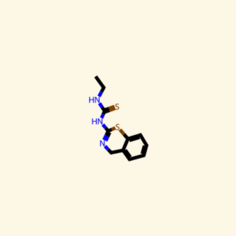 CCNC(=S)NC1=NCc2ccccc2S1